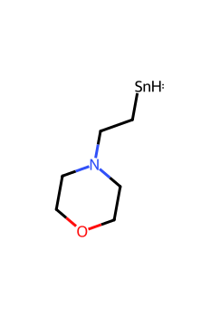 [SnH][CH2]CN1CCOCC1